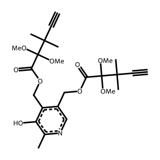 C#CC(C)(C)C(OC)(OC)C(=O)OCc1cnc(C)c(O)c1COC(=O)C(OC)(OC)C(C)(C)C#C